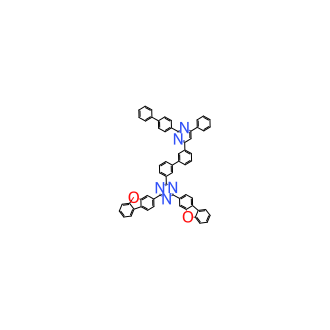 c1ccc(-c2ccc(-c3nc(-c4ccccc4)cc(-c4cccc(-c5cccc(-c6nc(-c7ccc8c(c7)oc7ccccc78)nc(-c7ccc8c(c7)oc7ccccc78)n6)c5)c4)n3)cc2)cc1